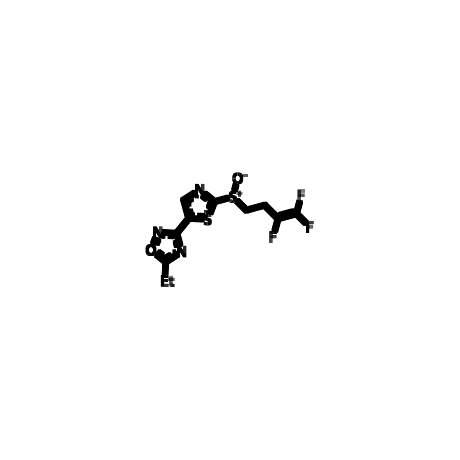 CCc1nc(-c2cnc([S+]([O-])CCC(F)=C(F)F)s2)no1